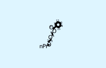 CCCOCCOCCOC(=O)c1ccccc1